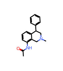 CC(=O)Nc1cccc2c1CN(C)CC2c1ccccc1